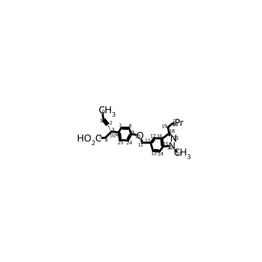 CC#C[C@@H](CC(=O)O)c1ccc(OCc2ccc3c(c2)c(CC(C)C)nn3C)cc1